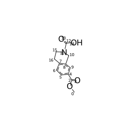 COC(=O)c1ccc2c(c1)CN(C(=O)O)CC2